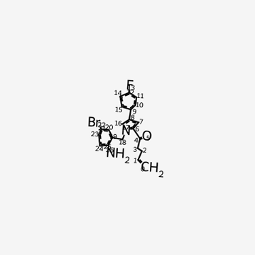 C=CCCC(=O)c1cc(-c2ccc(F)cc2)cn1Cc1cc(Br)ccc1N